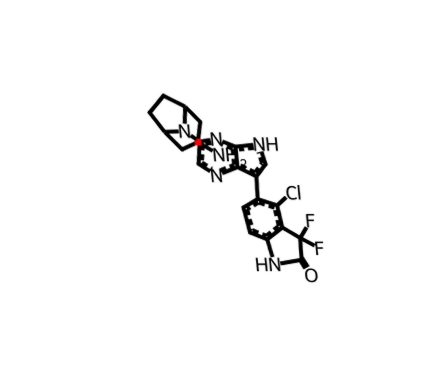 NC1CC2CCC(C1)N2c1cnc2c(-c3ccc4c(c3Cl)C(F)(F)C(=O)N4)c[nH]c2n1